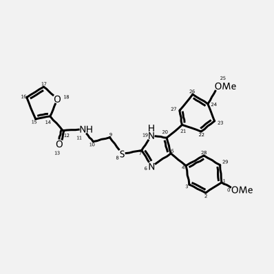 COc1ccc(-c2nc(SCCNC(=O)c3ccco3)[nH]c2-c2ccc(OC)cc2)cc1